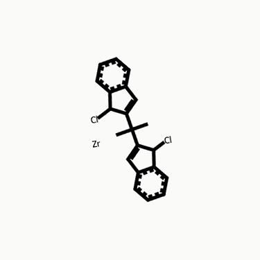 CC(C)(C1=Cc2ccccc2C1Cl)C1=Cc2ccccc2C1Cl.[Zr]